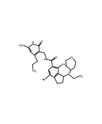 CCCc1cc(C)[nH]c(=O)c1CNC(=O)c1cc(Br)c2c(c1C)C(N(CC)C1CCOCC1)CC2